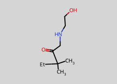 CCC(C)(C)C(=O)CNCCO